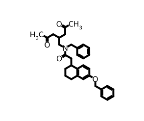 CC(=O)CC(CC(C)=O)CN(Cc1ccccc1)C(=O)CC1CCCc2cc(OCc3ccccc3)ccc21